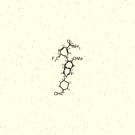 COc1cc2nn(C3CCC(C=O)CC3)cc2cc1N1C=C(C(N)=O)C=NC1C(F)(F)F